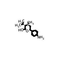 CC(C)[C@@H](C(=O)O)N(C)CCc1ccc(N)cc1